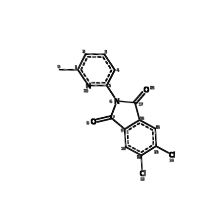 Cc1cccc(N2C(=O)c3cc(Cl)c(Cl)cc3C2=O)n1